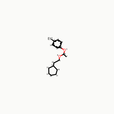 CCc1ccc(OC(C)OCCC2CCCCC2)cc1